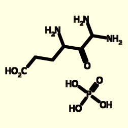 NC(N)C(=O)C(N)CCC(=O)O.O=P(O)(O)O